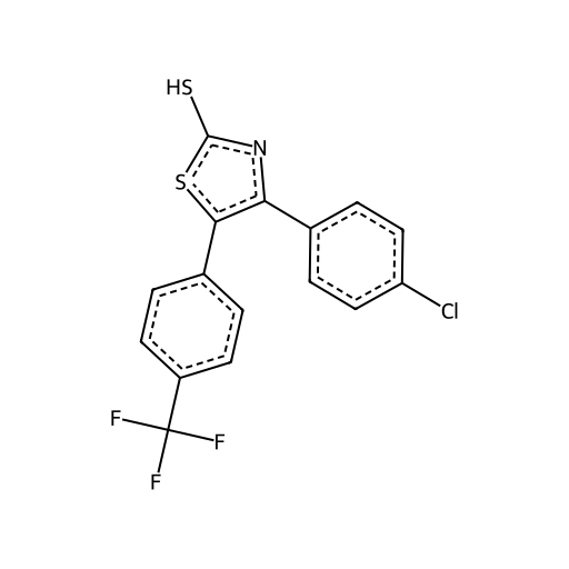 FC(F)(F)c1ccc(-c2sc(S)nc2-c2ccc(Cl)cc2)cc1